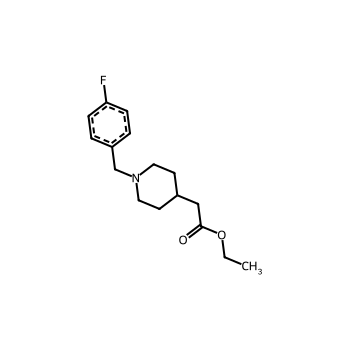 CCOC(=O)CC1CCN(Cc2ccc(F)cc2)CC1